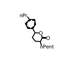 CCCCCC1CCC(c2ccc(CCC)cc2)OC1=O